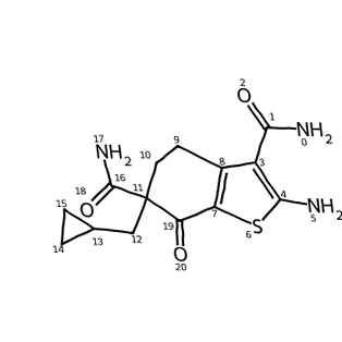 NC(=O)c1c(N)sc2c1CCC(CC1CC1)(C(N)=O)C2=O